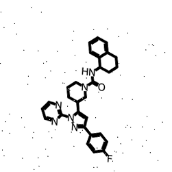 O=C(NC1CCCc2ccccc21)N1CCCC(c2cc(-c3ccc(F)cc3)nn2-c2ncccn2)C1